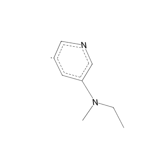 CCN(C)c1c[c]cnc1